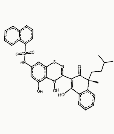 CC(C)CC[C@@]1(C)C(=O)C(C2=NSc3cc(NS(=O)(=O)c4cccc5ccccc45)cc(O)c3N2O)=C(O)c2ccccc21